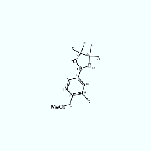 COCc1ncc(B2OC(C)(C)C(C)(C)O2)cc1C